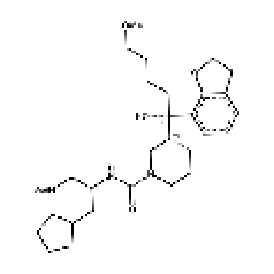 CNCC(CC1CCCC1)NC(=O)N1CCC[C@@H]([C@@](O)(CCCCOC)c2cccc3c2OCC3)C1